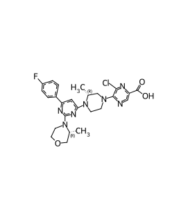 C[C@@H]1CN(c2ncc(C(=O)O)nc2Cl)CCN1c1cc(-c2ccc(F)cc2)nc(N2CCOC[C@H]2C)n1